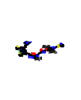 COc1cc(C(C)NCCSSc2ccccn2)c([N+](=O)[O-])cc1OCCNC(=O)CCCCNC(=O)C(CS(=O)(=O)O)NC(=O)CCC1=CC(c2cccs2)=[N+]2C1=Cc1c(CCC[N+](C)(C)C)cc(-c3cccs3)n1[B-]2(F)F